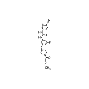 CCCOC(=O)N1CCN(Cc2cc(F)cc(NC(=O)Nc3ccc(C#N)nc3)c2)CC1